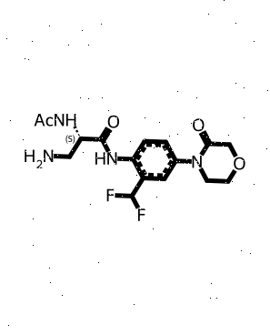 CC(=O)N[C@@H](CN)C(=O)Nc1ccc(N2CCOCC2=O)cc1C(F)F